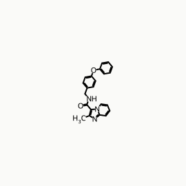 Cc1nc2ccccn2c1C(=O)NCc1ccc(Oc2ccccc2)cc1